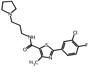 Cc1nc(-c2ccc(F)c(Cl)c2)sc1C(=O)NCCCN1CCCC1